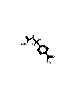 [2H]C([2H])(NC(=O)OC(C)(C)C)c1ccc(C(N)=O)cc1